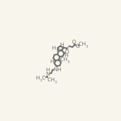 COC(=O)CC[C@H]1O[C@H]2CC3C(CC[C@@H]4C[C@@H](NCCNC(C)C)CC[C@]34C)C3CC[C@H]1[C@]32C